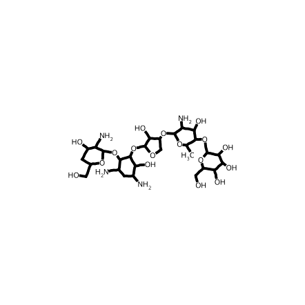 CC1OC(OC2COC(OC3C(O)C(N)CC(N)C3OC3OC(CO)CC(O)C3N)C2O)C(N)C(O)C1OC1OC(CO)C(O)C(O)C1O